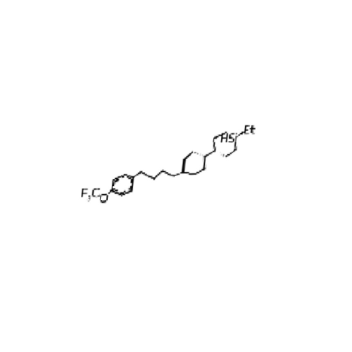 CC[Si@H]1CC[C@H]([C@H]2CC[C@H](CCCCc3ccc(OC(F)(F)F)cc3)CC2)CC1